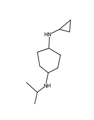 CC(C)NC1CCC(NC2CC2)CC1